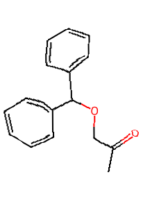 CC(=O)COC(c1ccccc1)c1ccccc1